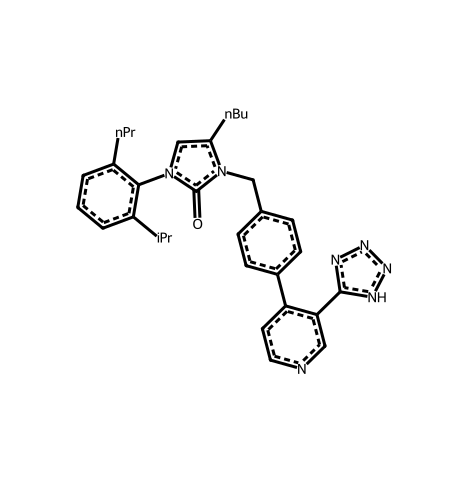 CCCCc1cn(-c2c(CCC)cccc2C(C)C)c(=O)n1Cc1ccc(-c2ccncc2-c2nnn[nH]2)cc1